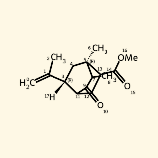 C=C(C)[C@@H]1C[C@]2(C)C(C)C(=O)C1CC2C(=O)OC